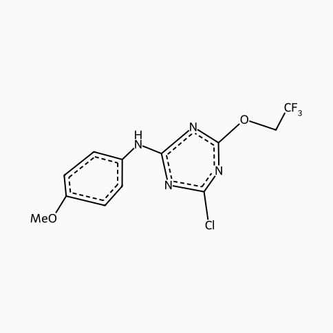 COc1ccc(Nc2nc(Cl)nc(OCC(F)(F)F)n2)cc1